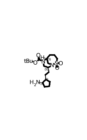 CC(C)(C)OC(=O)N1C[C@H](CC[C@H]2CCC[C@@H]2N)N2C[C@@H]1CCCS2(=O)=O